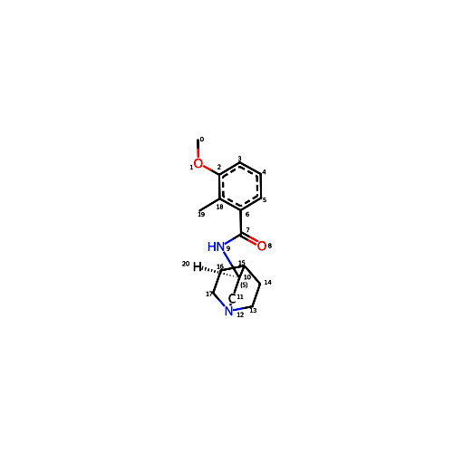 COc1cccc(C(=O)N[C@@H]2CN3CCC2CC3)c1C